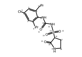 CC(C)c1cc(Cl)cc(C(C)C)c1NC(=O)NS(=O)(=O)C1CCNC1=O